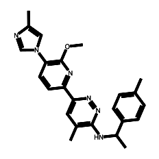 COc1nc(-c2cc(C)c(NC(C)c3ccc(C)cc3)nn2)ccc1-n1cnc(C)c1